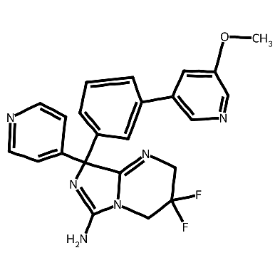 COc1cncc(-c2cccc(C3(c4ccncc4)N=C(N)N4CC(F)(F)CN=C43)c2)c1